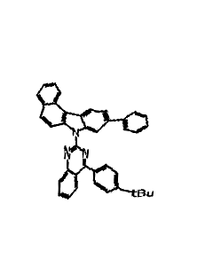 CC(C)(C)c1ccc(-c2nc(-n3c4cc(-c5ccccc5)ccc4c4c5ccccc5ccc43)nc3ccccc23)cc1